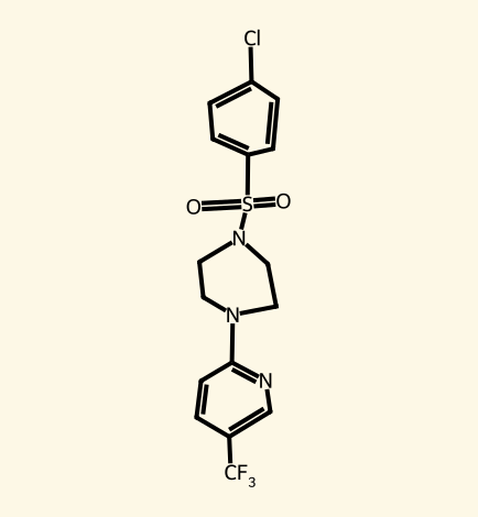 O=S(=O)(c1ccc(Cl)cc1)N1CCN(c2ccc(C(F)(F)F)cn2)CC1